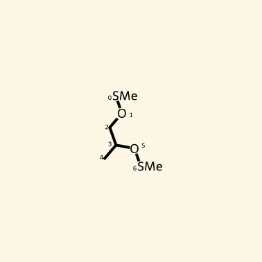 CSOCC(C)OSC